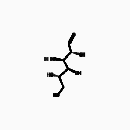 I.O=C[C@H](O)[C@H](O)[C@@H](O)[C@@H](O)CO